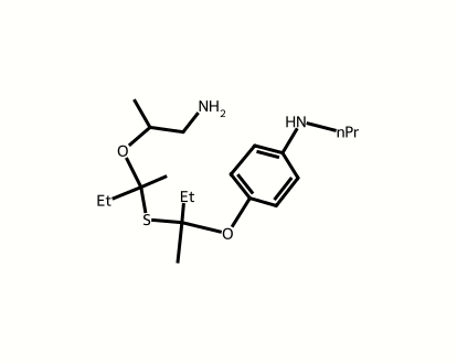 CCCNc1ccc(OC(C)(CC)SC(C)(CC)OC(C)CN)cc1